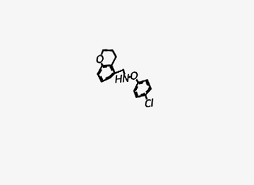 Clc1ccc(ONCc2cccc3c2CCCO3)cc1